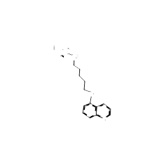 CC(C)S(=O)(=O)NCCCCCNc1cccc2ncccc12